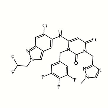 Cn1cnc(Cn2c(=O)cc(Nc3cc4cn(CC(F)F)nc4cc3Cl)n(Cc3cc(F)c(F)c(F)c3)c2=O)n1